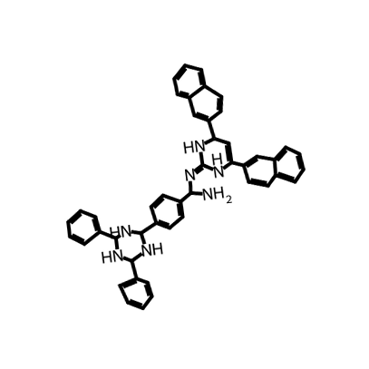 NC(/N=C1\NC(c2ccc3ccccc3c2)=CC(c2ccc3ccccc3c2)N1)c1ccc(C2NC(c3ccccc3)NC(c3ccccc3)N2)cc1